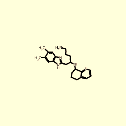 Cc1cc2nc(CC(CCCN)NC3CCCc4cccnc43)[nH]c2cc1C